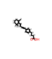 CC1=C(C=CC#Cc2ccc(CCCC(=O)O)cc2)C(C)(C)CCC1